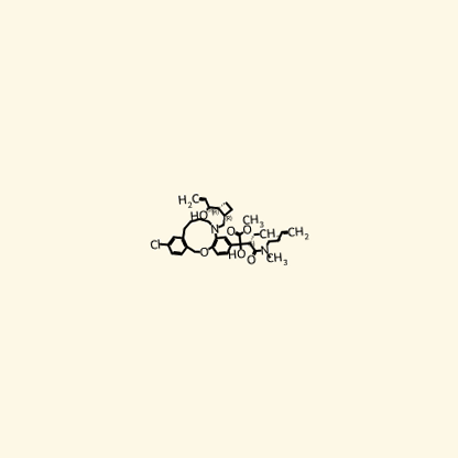 C=CCCN(C)C(=O)[C@@H](CC)C(O)(C(=O)OC)c1ccc2c(c1)N(C[C@@H]1CC[C@H]1[C@@H](O)C=C)CCCCc1cc(Cl)ccc1CO2